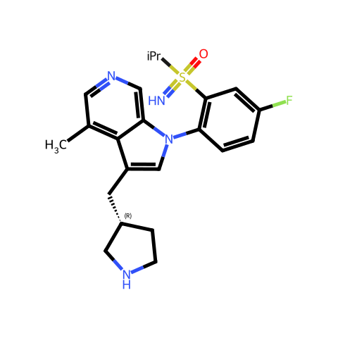 Cc1cncc2c1c(C[C@@H]1CCNC1)cn2-c1ccc(F)cc1S(=N)(=O)C(C)C